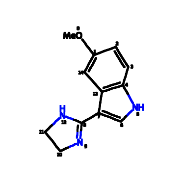 COc1ccc2[nH]cc(C3=NCCN3)c2c1